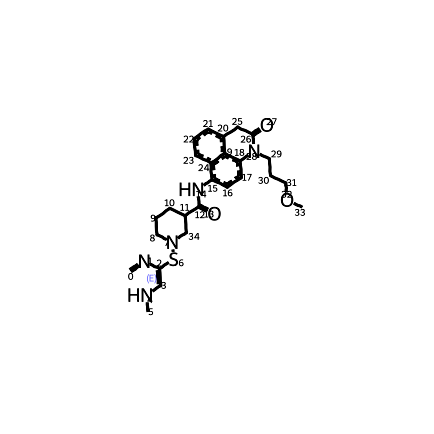 C=N/C(=C\NC)SN1CCCC(C(=O)Nc2ccc3c4c(cccc24)CC(=O)N3CCCOC)C1